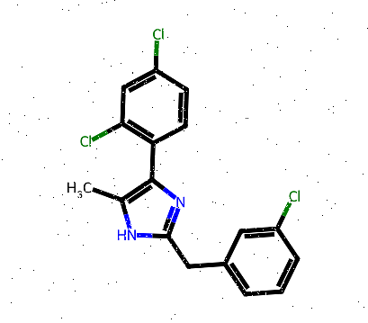 Cc1[nH]c(Cc2cccc(Cl)c2)nc1-c1ccc(Cl)cc1Cl